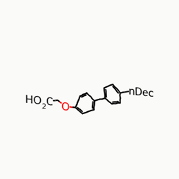 CCCCCCCCCCc1ccc(-c2ccc(OCC(=O)O)cc2)cc1